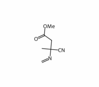 C=NC(C)(C#N)CC(=O)OC